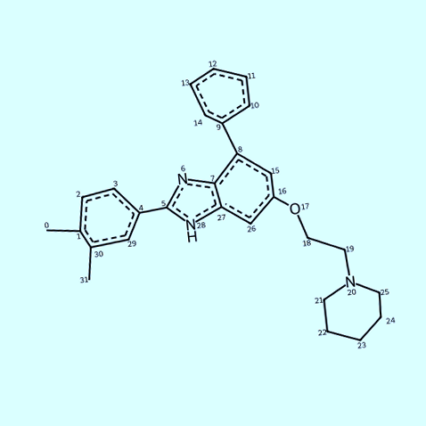 Cc1ccc(-c2nc3c(-c4ccccc4)cc(OCCN4CCCCC4)cc3[nH]2)cc1C